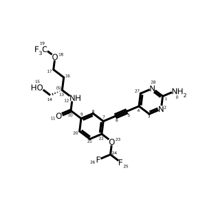 Nc1ncc(C#Cc2cc(C(=O)N[C@H](CO)CCOC(F)(F)F)ccc2OC(F)F)cn1